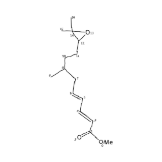 COC(=O)/C=C/C=C/CC(C)CCC1OC1(C)C